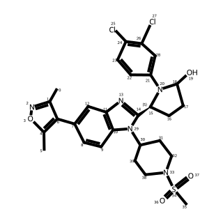 Cc1noc(C)c1-c1ccc2c(c1)nc([C@@H]1CCC(O)N1c1ccc(Cl)c(Cl)c1)n2C1CCN(S(C)(=O)=O)CC1